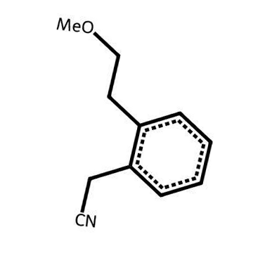 COCCc1ccccc1CC#N